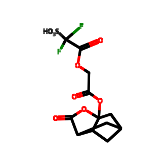 O=C(COC(=O)C(F)(F)S(=O)(=O)O)OC12CC3CC(C(=O)O1)C2C3